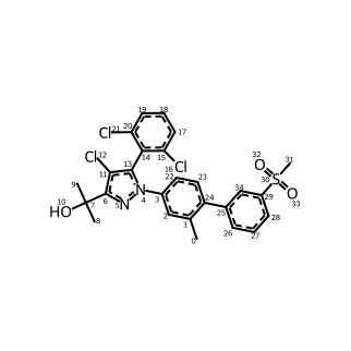 Cc1cc(-n2nc(C(C)(C)O)c(Cl)c2-c2c(Cl)cccc2Cl)ccc1-c1cccc(S(C)(=O)=O)c1